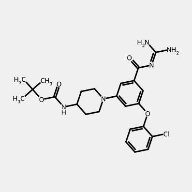 CC(C)(C)OC(=O)NC1CCN(c2cc(Oc3ccccc3Cl)cc(C(=O)N=C(N)N)c2)CC1